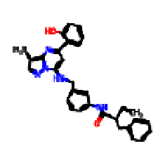 Bc1cnn2c(NCc3cccc(NC(=O)C(C=C)Cc4ccccc4)c3)cc(-c3ccccc3O)nc12